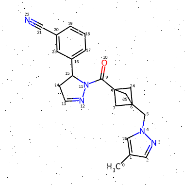 Cc1cnn(CC23CC(C(=O)N4N=CCC4c4cccc(C#N)c4)(C2)C3)c1